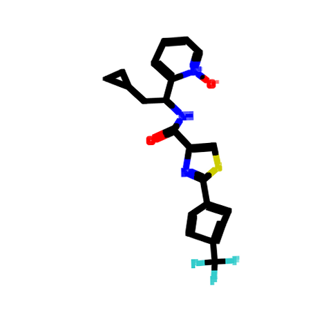 O=C(NC(CC1CC1)c1cccc[n+]1[O-])c1csc(-c2ccc(C(F)(F)F)cc2)n1